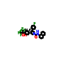 C[C@]1(c2ccc(F)cc2)CN(C(=O)Nc2cccc3ccccc23)C[C@H]1c1ccc(C(O)(C(F)(F)F)C(F)(F)F)cc1